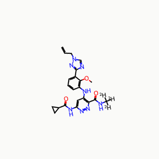 [2H]C([2H])([2H])NC(=O)c1nnc(NC(=O)C2CC2)cc1Nc1cccc(-c2ncn(CC=C)n2)c1OC